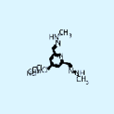 CNN=Cc1cc(Cl)cc(C=NNC)n1.[Cl-].[Cl-].[Cl-].[Nd+3]